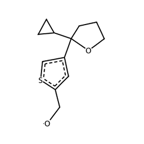 [O]Cc1cc(C2(C3CC3)CCCO2)cs1